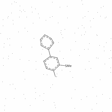 [CH2]c1ccc(-c2ccccc2)cc1SC